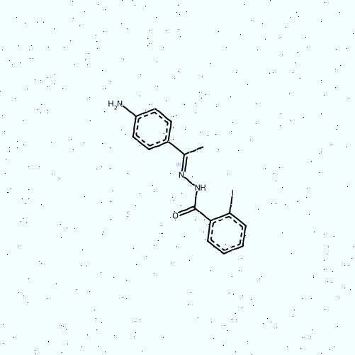 C/C(=N\NC(=O)c1ccccc1I)c1ccc(N)cc1